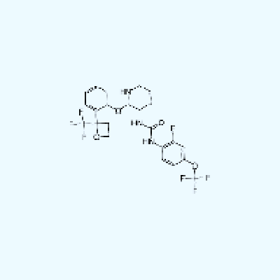 O=C(Nc1ccc(OC(F)(F)F)cc1F)NC1CCCNC1Oc1ccccc1C1(C(F)(F)F)CCO1